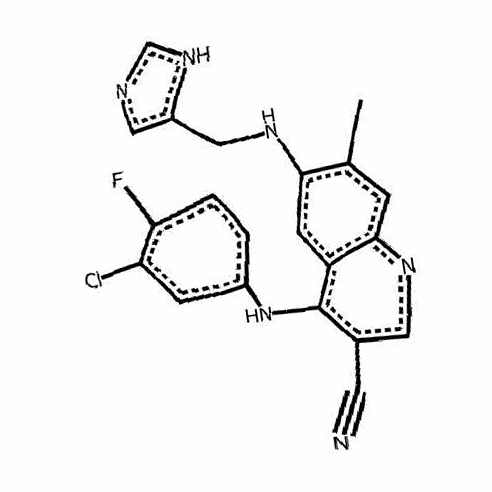 Cc1cc2ncc(C#N)c(Nc3ccc(F)c(Cl)c3)c2cc1NCc1cnc[nH]1